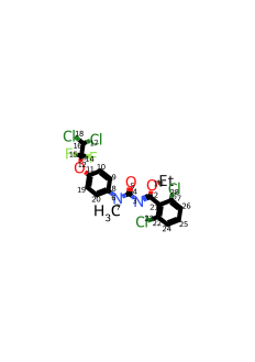 CCO/C(=N\C(=O)N(C)c1ccc(OC(F)(F)C(Cl)Cl)cc1)c1c(Cl)cccc1Cl